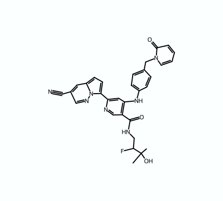 CC(C)(O)C(F)CNC(=O)c1cnc(-c2ccc3cc(C#N)cnn23)cc1Nc1ccc(Cn2ccccc2=O)cc1